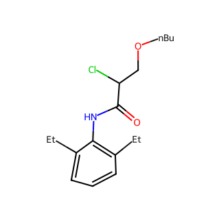 CCCCOCC(Cl)C(=O)Nc1c(CC)cccc1CC